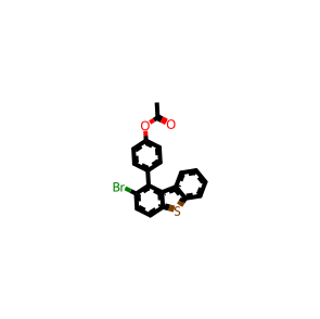 CC(=O)Oc1ccc(-c2c(Br)ccc3sc4ccccc4c23)cc1